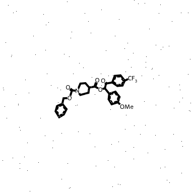 COc1ccc(C(OC(=O)C2CCN(C(=O)OCc3ccccc3)CC2)C(=O)c2ccc(C(F)(F)F)cc2)cc1